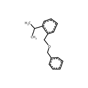 CC(C)c1ccccc1COCc1ccccc1